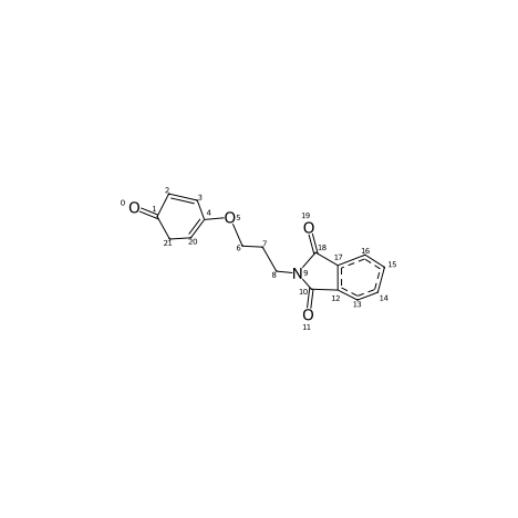 O=C1C=CC(OCCCN2C(=O)c3ccccc3C2=O)=CC1